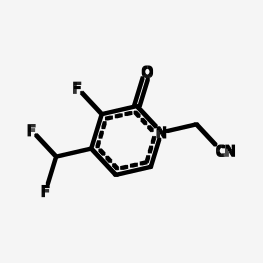 N#CCn1ccc(C(F)F)c(F)c1=O